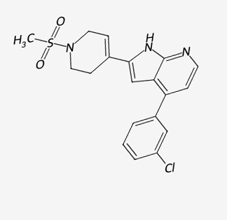 CS(=O)(=O)N1CC=C(c2cc3c(-c4cccc(Cl)c4)ccnc3[nH]2)CC1